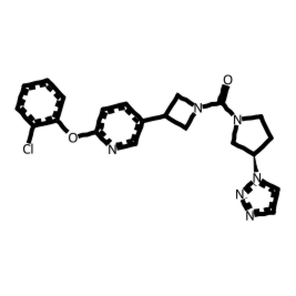 O=C(N1CC(c2ccc(Oc3ccccc3Cl)nc2)C1)N1CC[C@@H](n2ccnn2)C1